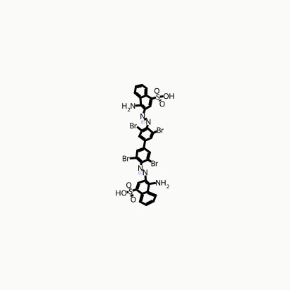 Nc1c(/N=N/c2c(Br)cc(-c3cc(Br)c(/N=N/c4cc(S(=O)(=O)O)c5ccccc5c4N)c(Br)c3)cc2Br)cc(S(=O)(=O)O)c2ccccc12